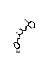 O=C(C=Cc1ccc(O)cc1)CC(=O)C=Cc1ccccc1Cl